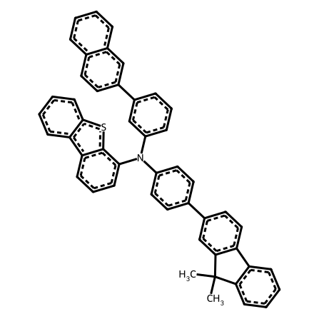 CC1(C)c2ccccc2-c2ccc(-c3ccc(N(c4cccc(-c5ccc6ccccc6c5)c4)c4cccc5c4sc4ccccc45)cc3)cc21